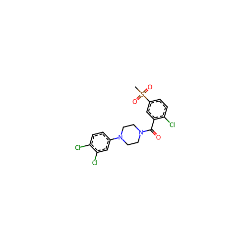 CS(=O)(=O)c1ccc(Cl)c(C(=O)N2CCN(c3ccc(Cl)c(Cl)c3)CC2)c1